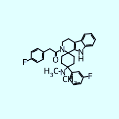 CN(C)C1(c2cccc(F)c2)CCC2(CC1)c1[nH]c3ccccc3c1CCN2C(=O)Cc1ccc(F)cc1